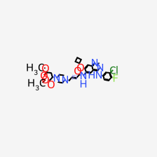 COC(=O)CC(C(=O)OC)N1CCN(C/C=C/C(=O)Nc2cc3c(Nc4ccc(F)c(Cl)c4)ncnc3cc2OC2CCC2)CC1